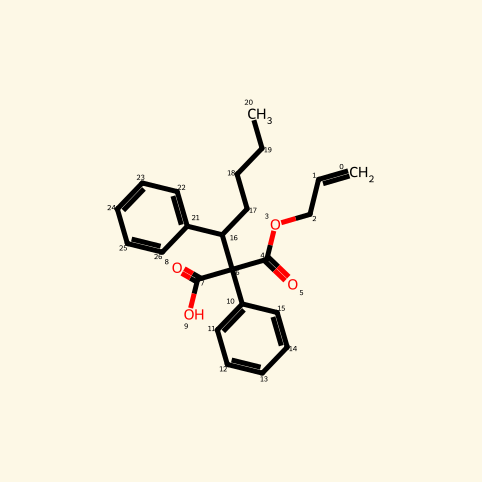 C=CCOC(=O)C(C(=O)O)(c1ccccc1)C(CCCC)c1ccccc1